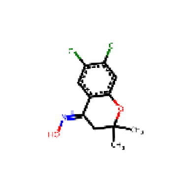 CC1(C)C/C(=N\O)c2cc(Cl)c(Cl)cc2O1